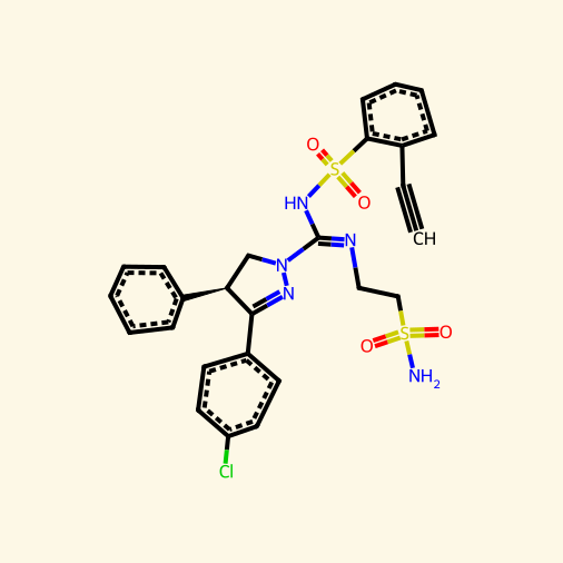 C#Cc1ccccc1S(=O)(=O)NC(=NCCS(N)(=O)=O)N1C[C@H](c2ccccc2)C(c2ccc(Cl)cc2)=N1